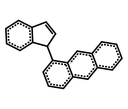 C1=Cc2ccccc2[C]1c1cccc2cc3ccccc3cc12